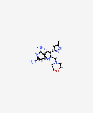 Cc1cc(-c2cc3c(N)nc(N)cc3nc2CN2CCOCC2)n[nH]1